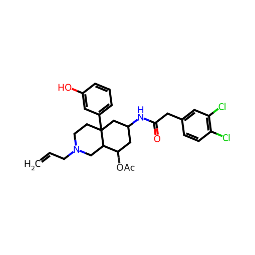 C=CCN1CCC2(c3cccc(O)c3)CC(NC(=O)Cc3ccc(Cl)c(Cl)c3)CC(OC(C)=O)C2C1